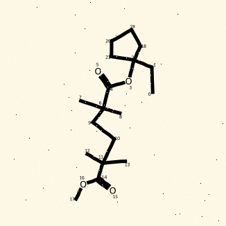 CCC1(OC(=O)C(C)(C)CCC(C)(C)C(=O)OC)CCCC1